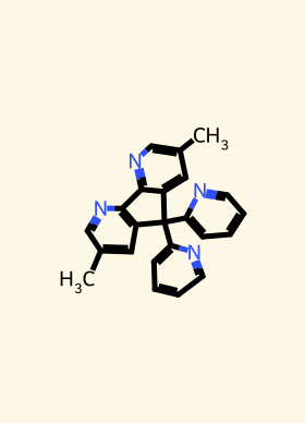 Cc1cnc2c(c1)C(c1ccccn1)(c1ccccn1)c1cc(C)cnc1-2